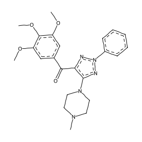 COc1cc(C(=O)c2nn(-c3ccccc3)nc2N2CCN(C)CC2)cc(OC)c1OC